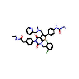 CCNC(=O)Cc1ccc(-n2c(=O)c3c(CN(C)Cc4ccccn4)c(-c4ccc(NC(N)=O)cc4)sc3n(Cc3c(F)cccc3F)c2=O)cc1